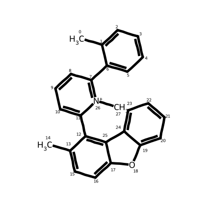 Cc1ccccc1-c1cccc(-c2c(C)ccc3oc4ccccc4c23)[n+]1C